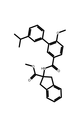 COC(=O)C1(NC(=O)c2ccc(OC)c(-c3cccc(C(C)C)c3)c2)Cc2ccccc2C1